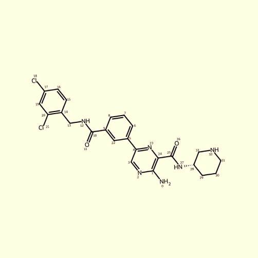 Nc1ncc(-c2cccc(C(=O)NCc3ccc(Cl)cc3Cl)c2)nc1C(=O)N[C@H]1CCCNC1